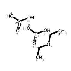 CCOCC.O=[PH](O)O.O=[PH](O)O